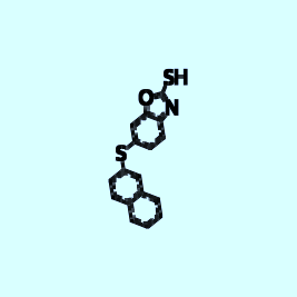 Sc1nc2ccc(Sc3ccc4ccccc4c3)cc2o1